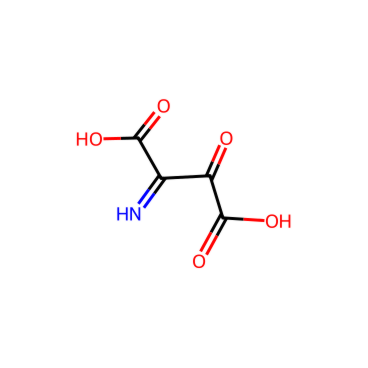 N=C(C(=O)O)C(=O)C(=O)O